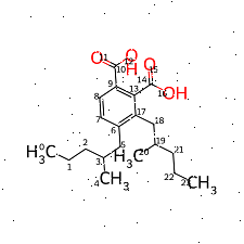 CCCC(C)Cc1ccc(C(=O)O)c(C(=O)O)c1CC(C)CCC